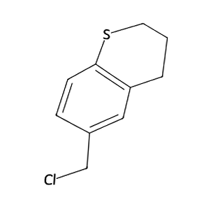 ClCc1ccc2c(c1)CCCS2